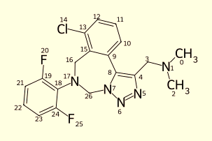 CN(C)Cc1nnn2c1-c1cccc(Cl)c1CN(c1c(F)cccc1F)C2